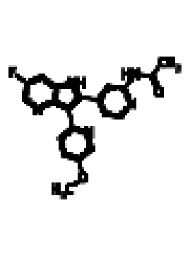 COc1ccc(-c2c(-c3ccnc(NC(C)=O)c3)[nH]c3cc(F)cnc23)nc1